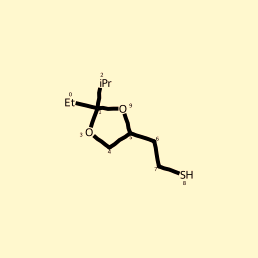 CCC1(C(C)C)OCC(CCS)O1